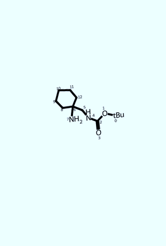 CC(C)(C)OC(=O)NCC1(N)CCCCC1